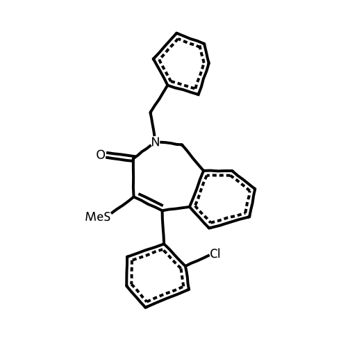 CSC1=C(c2ccccc2Cl)c2ccccc2CN(Cc2ccccc2)C1=O